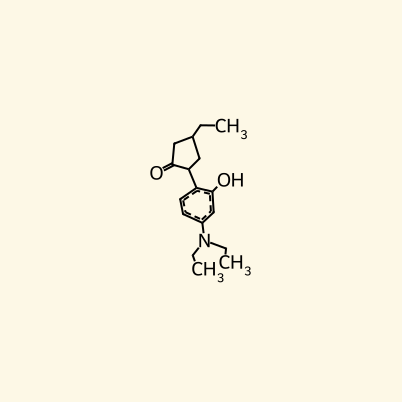 CCC1CC(=O)C(c2ccc(N(CC)CC)cc2O)C1